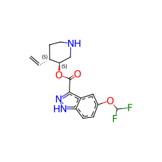 C=C[C@@H]1CCNC[C@H]1OC(=O)c1n[nH]c2ccc(OC(F)F)cc12